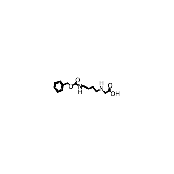 O=C(O)CNCCCCNC(=O)OCc1ccccc1